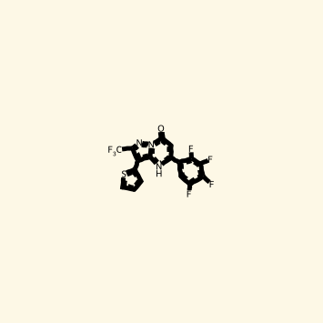 O=c1cc(-c2cc(F)c(F)c(F)c2F)[nH]c2c(-c3cccs3)c(C(F)(F)F)nn12